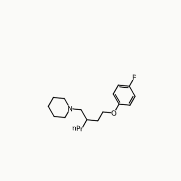 CCCC(CCOc1ccc(F)cc1)CN1CCCCC1